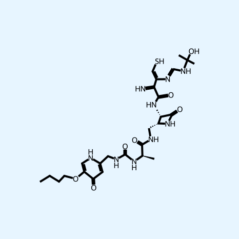 CCCCOc1c[nH]c(CNC(=O)N[C@H](C)C(=O)NC[C@H]2NC(=O)[C@H]2NC(=O)C(=N)C(=C/S)/N=C/NC(C)(C)O)cc1=O